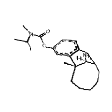 CC(C)N(C)C(=O)Oc1ccc2c(c1)[C@@]1(C)CCCCCC(C2)[C@@H]1N